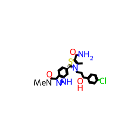 CNC(=O)c1n[nH]c2cc([C@H]3SC(C(N)=O)=C(C)N3CCC(O)c3ccc(Cl)cc3)ccc12